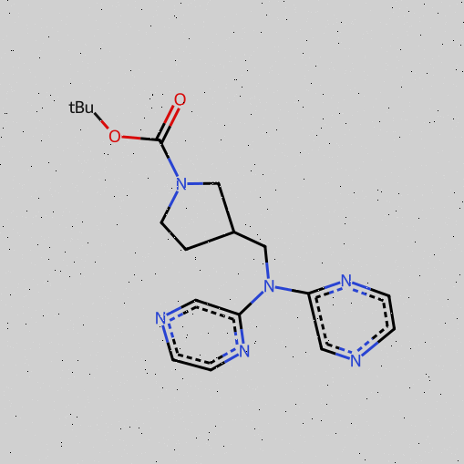 CC(C)(C)OC(=O)N1CCC(CN(c2cnccn2)c2cnccn2)C1